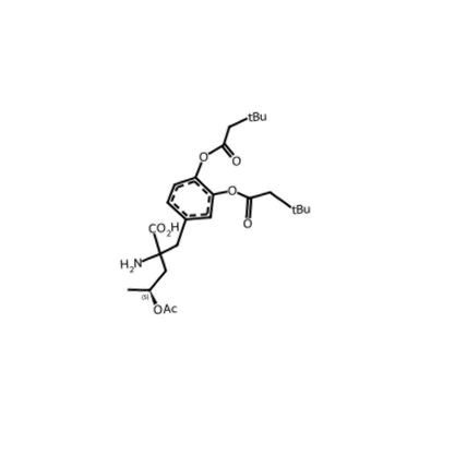 CC(=O)O[C@@H](C)CC(N)(Cc1ccc(OC(=O)CC(C)(C)C)c(OC(=O)CC(C)(C)C)c1)C(=O)O